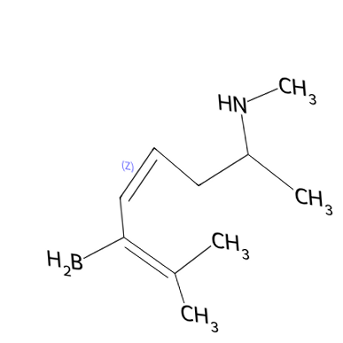 BC(/C=C\CC(C)NC)=C(C)C